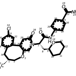 C[C@H]1COc2cn([C@@H](C[C@@H]3CCCCO3)C(=O)Nc3ccc(C(N)=O)cc3)c(=O)cc2-c2cc(Cl)ccc2C1